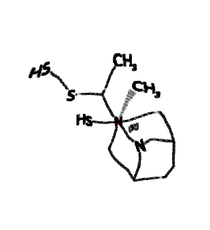 CC(SS)N1CC2CC(C1)N2[C@@H](C)S